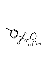 Cc1ccc(S(=O)(=O)OC2CCOS2(O)O)cc1